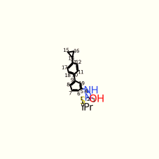 CC(C)SN(O)Nc1cccc(-c2ccc(C3CC3)cc2)c1